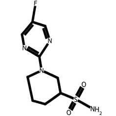 NS(=O)(=O)C1CCCN(c2ncc(F)cn2)C1